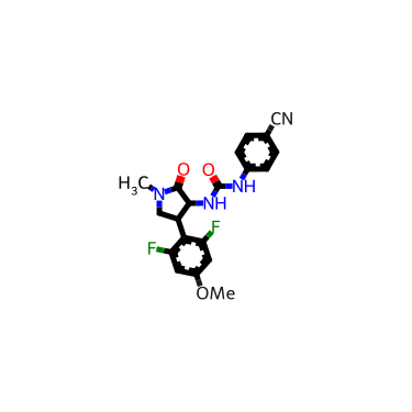 COc1cc(F)c(C2CN(C)C(=O)C2NC(=O)Nc2ccc(C#N)cc2)c(F)c1